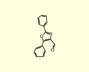 O=Cc1nc(-c2ccccc2)oc1-c1ccccc1